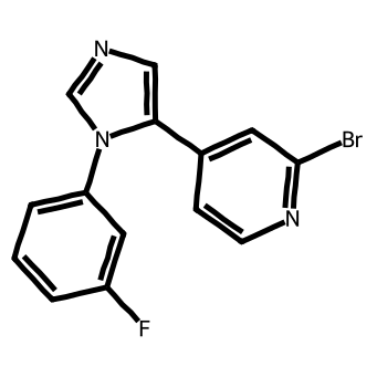 Fc1cccc(-n2cncc2-c2ccnc(Br)c2)c1